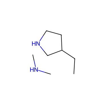 CCC1CCNC1.CNC